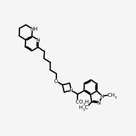 Cc1nn(C)c2cccc(C(C(=O)O)N3CC(OCCCCCc4ccc5c(n4)NCCC5)C3)c12